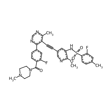 COc1ncc(C#Cc2c(C)ncnc2-c2ccc(C(=O)N3CCN(C)CC3)c(F)c2)cc1NS(=O)(=O)c1ccc(C)cc1F